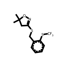 CC1(C)CC(SCc2ccccc2SC(F)(F)F)=NO1